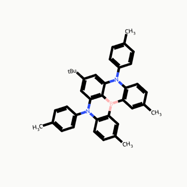 Cc1ccc(N2c3ccc(C)cc3B3c4cc(C)ccc4N(c4ccc(C)cc4)c4cc(C(C)(C)C)cc2c43)cc1